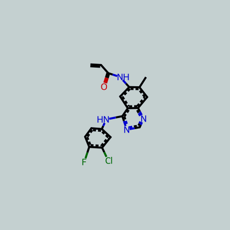 C=CC(=O)Nc1cc2c(Nc3ccc(F)c(Cl)c3)ncnc2cc1C